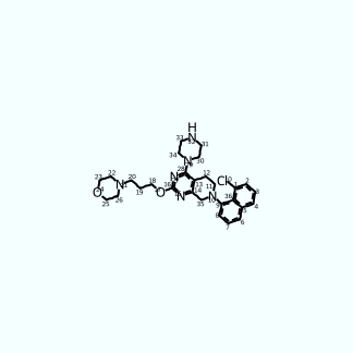 Clc1cccc2cccc(N3CCc4c(nc(OCCCN5CCOCC5)nc4N4CCNCC4)C3)c12